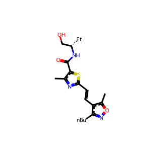 CCCCc1noc(C)c1/C=C/c1nc(C)c(C(=O)N[C@@H](CC)CO)s1